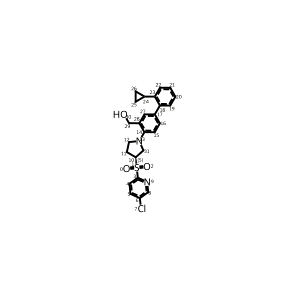 O=S(=O)(c1ccc(Cl)cn1)[C@H]1CCN(c2ccc(-c3ccccc3C3CC3)cc2CO)C1